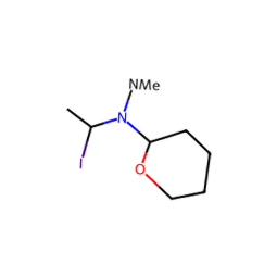 CNN(C(C)I)C1CCCCO1